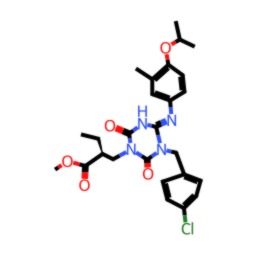 CC[C@@H](Cn1c(=O)[nH]/c(=N\c2ccc(OC(C)C)c(C)c2)n(Cc2ccc(Cl)cc2)c1=O)C(=O)OC